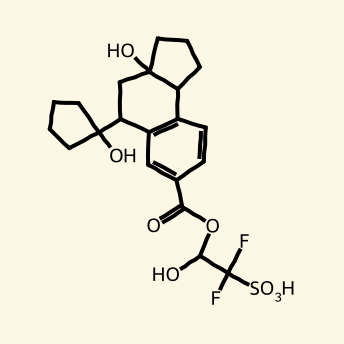 O=C(OC(O)C(F)(F)S(=O)(=O)O)c1ccc2c(c1)C(C1(O)CCCC1)CC1(O)CCCC21